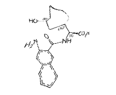 Nc1cc2ccccc2cc1C(=O)N[C@H](C(=O)O)[C@H]1CCC[C@@H](O)C1